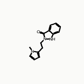 Cn1cccc1CCn1[nH]c2ccccc2c1=O